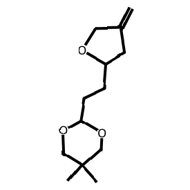 C=C1COC(CCC2OCC(C)(C)CO2)C1